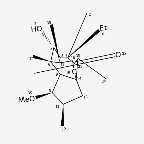 CC[C@]1(C)C[C@@H](O)[C@@]2(C)C3[C@H](OC)[C@H](C)CC3(CC[C@H]2C)C(C)C1=O